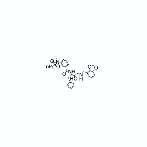 CCCS(=O)(=O)N(C)c1cccc(C(=O)N[C@@H](Cc2ccccc2)[C@@H](O)CNCc2cccc3c2OCO3)c1